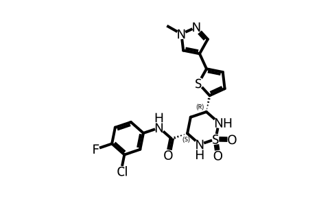 Cn1cc(-c2ccc([C@H]3C[C@@H](C(=O)Nc4ccc(F)c(Cl)c4)NS(=O)(=O)N3)s2)cn1